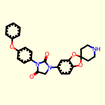 O=C1CN(c2ccc3c(c2)OC2(CCNCC2)O3)C(=O)N1c1ccc(Oc2ccccc2)cc1